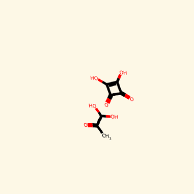 CC(=O)C(O)O.O=c1c(O)c(O)c1=O